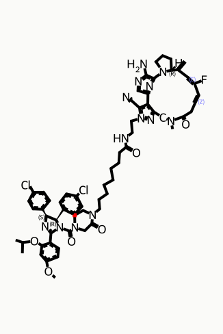 C=C1/C=C(F)\C=C/CC(=O)N(C)Cc2nn(CCNC(=O)CCCCCCCCN3CCN(C(=O)N4C(c5ccc(OC)cc5OC(C)C)=N[C@@H](c5ccc(Cl)cc5)[C@H]4c4ccc(Cl)cc4)CC3=O)c(C#N)c2-c2cnc(N)c(n2)N2CCC[C@H]12